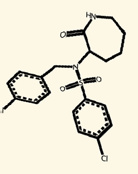 O=C1NCCCCC1N(Cc1ccc(Cl)cc1)S(=O)(=O)c1ccc(Cl)cc1